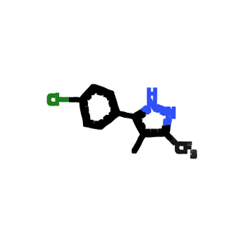 Cc1c(C(F)(F)F)n[nH]c1-c1ccc(Cl)cc1